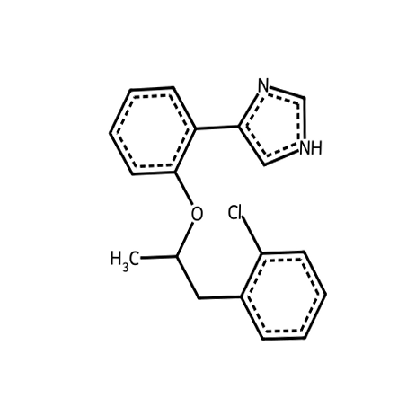 CC(Cc1ccccc1Cl)Oc1ccccc1-c1c[nH]cn1